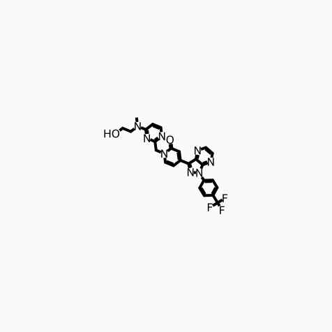 CN(CCO)c1ccnc(Cn2ccc(-c3nn(-c4ccc(C(F)(F)F)cc4)c4nccnc34)cc2=O)n1